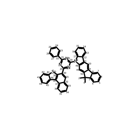 CC1(C)c2ccccc2-c2cc3c4ccccc4n(-c4nc(-c5ccccc5)nc(-c5cc6ccccc6c6c5sc5ccccc56)n4)c3cc21